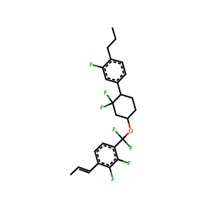 C/C=C/c1ccc(C(F)(F)OC2CCC(c3ccc(CCC)c(F)c3)C(F)(F)C2)c(F)c1F